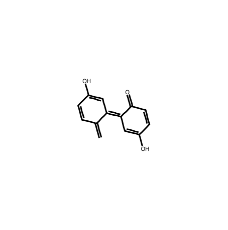 C=c1ccc(O)c/c1=C1/C=C(O)C=CC1=O